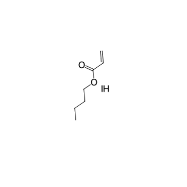 C=CC(=O)OCCCC.I